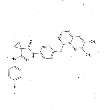 Cc1cc2ncnc(Oc3ccc(NC(=O)C4(C(=O)Nc5ccc(F)cc5)CC4)cn3)c2nc1C